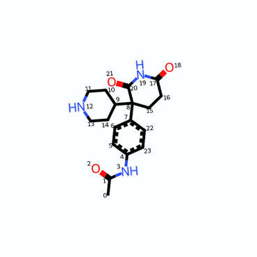 CC(=O)Nc1ccc(C2(C3CCNCC3)CCC(=O)NC2=O)cc1